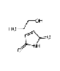 O=C1C=CC(=O)N1.OCCO